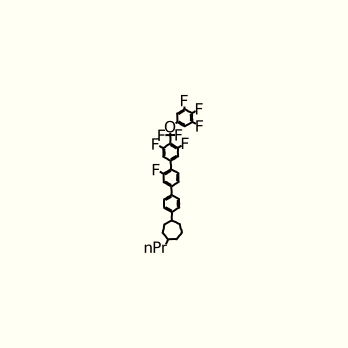 CCCC1CCCC(c2ccc(-c3ccc(-c4cc(F)c(C(F)(F)Oc5cc(F)c(F)c(F)c5)c(F)c4)c(F)c3)cc2)CC1